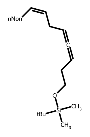 CCCCCCCCC/C=C\CC=C=CCCO[Si](C)(C)C(C)(C)C